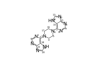 c1nc(N2CCN(c3ncnc4nc[nH]c34)CC2)c2[nH]cnc2n1